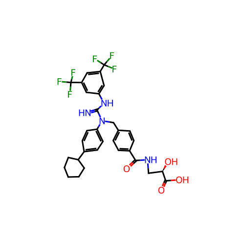 N=C(Nc1cc(C(F)(F)F)cc(C(F)(F)F)c1)N(Cc1ccc(C(=O)NC[C@@H](O)C(=O)O)cc1)c1ccc(C2CCCCC2)cc1